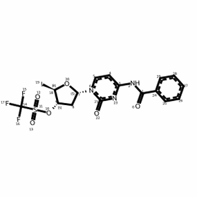 O=C(Nc1ccn([C@@H]2C[C@H](OS(=O)(=O)C(F)(F)F)[C@@H](I)O2)c(=O)n1)c1ccccc1